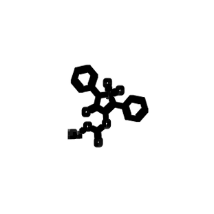 CCC(C)OC(=O)OC1=C(c2ccccc2)S(=O)(=O)C(c2ccccc2)C1=O